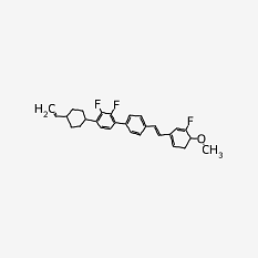 C=CC1CCC(c2ccc(-c3ccc(/C=C/C4=CCC(OC)C(F)=C4)cc3)c(F)c2F)CC1